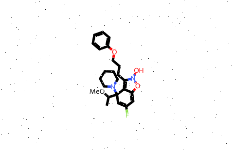 COC(C)C1(N2CCCCC2)C=C(F)C=C2ON(O)C(CCCOc3ccccc3)=C21